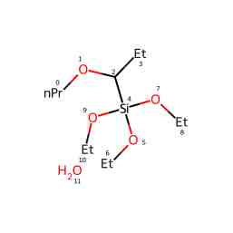 CCCOC(CC)[Si](OCC)(OCC)OCC.O